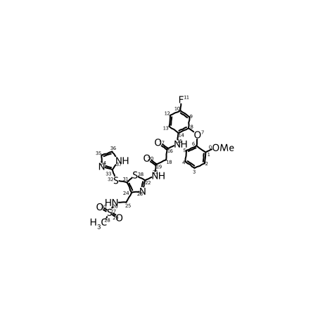 COc1ccccc1Oc1cc(F)ccc1NC(=O)CC(=O)Nc1nc(CNS(C)(=O)=O)c(Sc2ncc[nH]2)s1